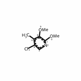 COc1ncc(Cl)c(C)c1OC